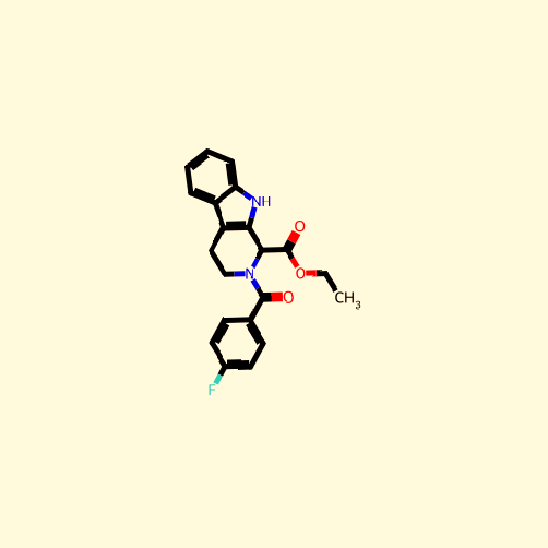 CCOC(=O)C1c2[nH]c3ccccc3c2CCN1C(=O)c1ccc(F)cc1